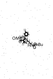 CCCCOC(=O)NCCCc1nc(C)c(C(=O)OC)c(Nc2cccc(C)c2)n1